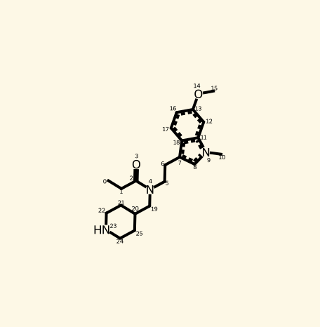 CCC(=O)N(CCc1cn(C)c2cc(OC)ccc12)CC1CCNCC1